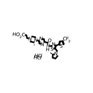 C[C@@H]1CCCN1Cc1sc(NC(=O)c2cnc(N3CCN(CCC(=O)O)C[C@H]3C)cn2)nc1-c1cc(C(F)(F)F)cs1.Cl.Cl